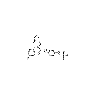 CN1CCC[C@H]1CN(Cc1ccc(F)cc1)C(=O)NCc1ccc(OCC(F)(F)F)cc1